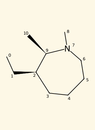 CC[C@@H]1CCCCN(C)[C@@H]1C